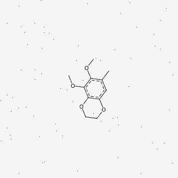 COc1c(C)cc2c(c1OC)OCCO2